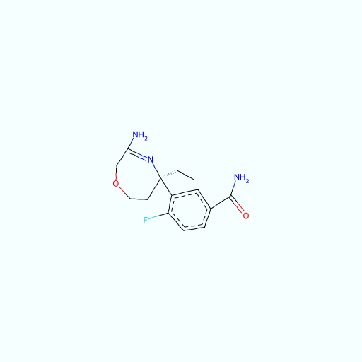 CC[C@]1(c2cc(C(N)=O)ccc2F)CCOCC(N)=N1